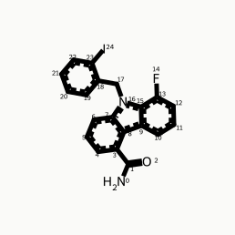 NC(=O)c1cccc2c1c1[c]ccc(F)c1n2Cc1ccccc1I